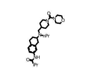 CCCN(CC1CCN(C(=O)N2CCOCC2)CC1)C1CCc2ccc(NC(=O)C(C)C)cc2C1